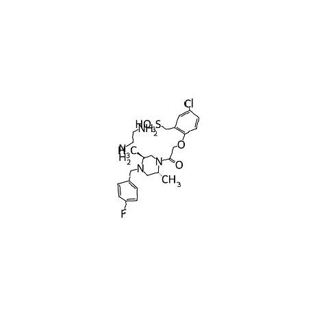 C[C@@H]1CN(Cc2ccc(F)cc2)[C@@H](C)CN1C(=O)COc1ccc(Cl)cc1CS(=O)(=O)O.NCCN